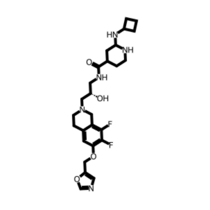 O=C(NC[C@H](O)CN1CCc2cc(OCc3cnco3)c(F)c(F)c2C1)C1CCNC(NC2CCC2)C1